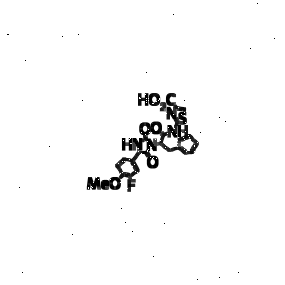 COc1ccc(C2NC(=O)N(C(Cc3ccccc3)C(=O)Nc3nc(C(=O)O)cs3)C2=O)cc1F